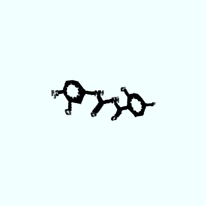 O=C(NC(=O)c1ccc(F)cc1Cl)Nc1ccc(C(F)(F)F)c(Cl)c1